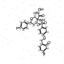 O=C(NO)C1(NS(=O)(=O)c2ccc(OCc3ccc(F)cc3Cl)cc2)CCC(c2ccc(F)cc2)OC1